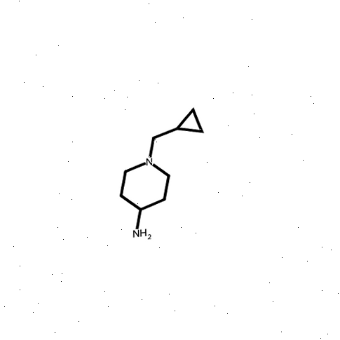 NC1CCN(CC2CC2)CC1